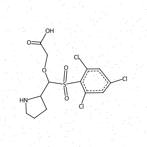 O=C(O)COC(C1CCCN1)S(=O)(=O)c1c(Cl)cc(Cl)cc1Cl